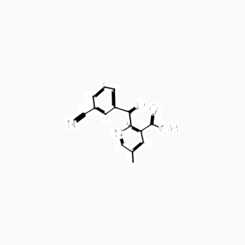 Cc1cnc(C(=O)c2cccc(C#N)c2)c(C(=O)O)c1